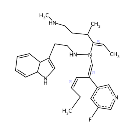 C/C=C(/C(C)CCNC)N(/C=C(\C=C/CC)c1cncc(F)c1)NCCC1=CNC2C=CC=CC12